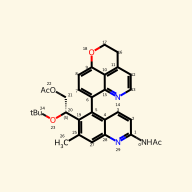 CC(=O)Nc1ccc2c(-c3ccc4c5c(ccnc35)CCO4)c([C@@H](COC(C)=O)OC(C)(C)C)c(C)cc2n1